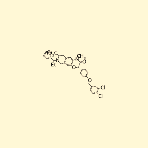 CC[C@@H](c1ccccc1)N1Cc2cc3c(cc2CC1C(=O)O)N(C)C(=O)[C@H](c1ccc(OCc2ccc(Cl)c(Cl)c2)cc1)O3